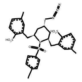 Cc1ccc(S(=O)(=O)N2[C@H](Cc3cc(C)ccc3S(=O)(=O)O)C[C@@H](CN=[N+]=[N-])C[C@@H]2Cc2cc(C)ccc2S(=O)(=O)O)cc1